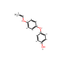 C=COc1ccc(Oc2ccc(O)cc2)cc1